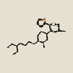 CCC(CC)CCCCC1CCC(c2cc(C)ccc2-c2cccs2)CC1C